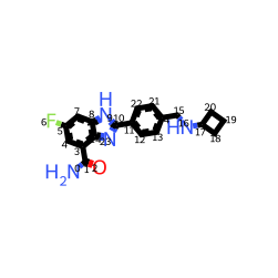 NC(=O)c1cc(F)cc2[nH]c(-c3ccc(CNC4CCC4)cc3)nc12